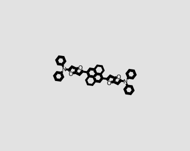 c1ccc(N(c2ccccc2)c2cc3oc(-c4cc5c6c(c(-c7cc8oc(N(c9ccccc9)c9ccccc9)cc8o7)cc7c6c4CCC7)CCC5)cc3o2)cc1